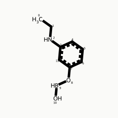 CCNc1cccc(OBO)c1